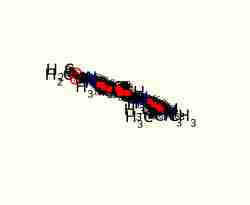 C=CC(C=C)OC(=O)c1ccc(-c2ncc(-c3ccc4c(c3)C3(c5cc(-c6ccc7c(c6)C6(c8cc(-c9ccc(-c%10ncc(-c%11ccc%12c(c%11)C%11(c%13cc(-c%14cnc(C)nc%14)ccc%13-%12)C(CC)(CC)CC(CC)CC%11(CC)CC)cn%10)cc9)ccc8-7)C7(C)CCCC6(C)CCC7)ccc5-4)C4(C)CCC3(C)CC4)cn2)cc1